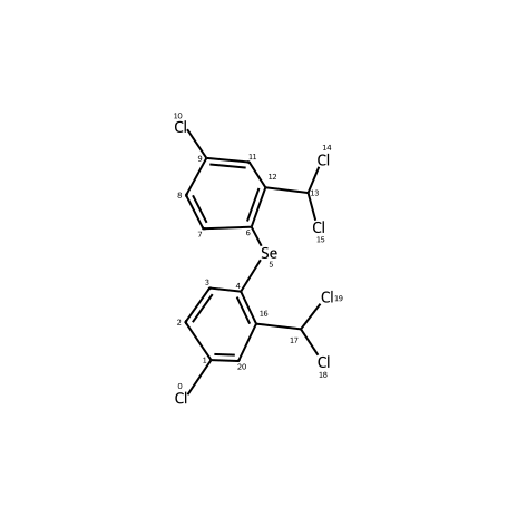 Clc1ccc([Se]c2ccc(Cl)cc2C(Cl)Cl)c(C(Cl)Cl)c1